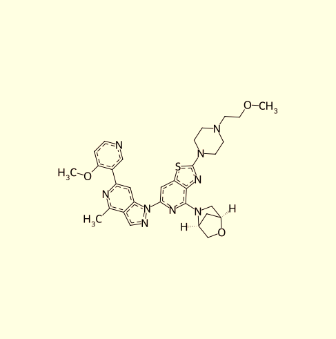 COCCN1CCN(c2nc3c(N4C[C@@H]5C[C@H]4CO5)nc(-n4ncc5c(C)nc(-c6cnccc6OC)cc54)cc3s2)CC1